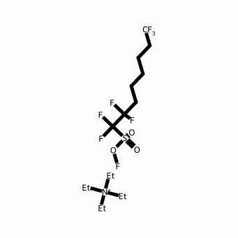 CC[N+](CC)(CC)CC.O=S(=O)(OF)C(F)(F)C(F)(F)CCCCCC(F)(F)F